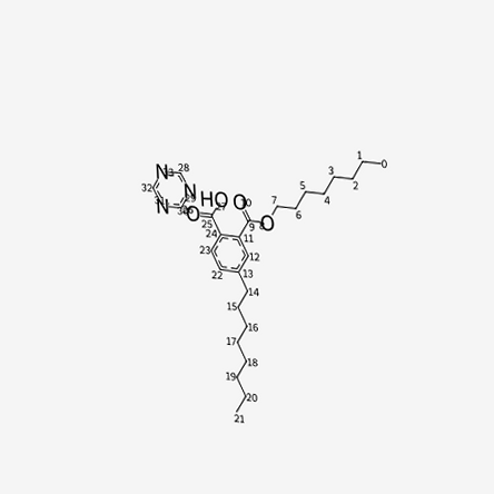 CCCCCCCCOC(=O)c1cc(CCCCCCCC)ccc1C(=O)O.c1ncncn1